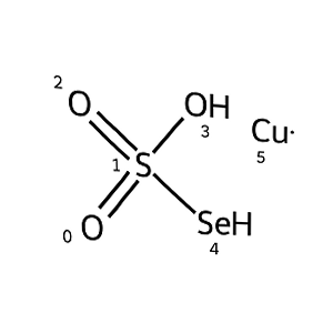 O=S(=O)(O)[SeH].[Cu]